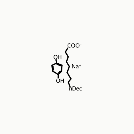 CCCCCCCCCCCCCCCCCC(=O)[O-].Oc1ccc(O)cc1.[Na+]